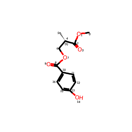 COC(=O)[C@@H](C)COC(=O)c1ccc(O)cc1